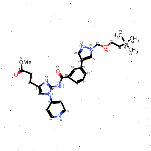 COC(=O)CCc1cn(-c2ccncc2)c(NC(=O)c2cccc(-c3cnn(COCC[Si](C)(C)C)c3)c2)n1